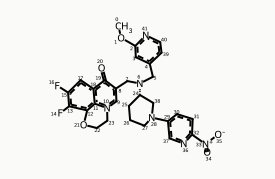 COc1cc(CN(Cc2cn3c4c(c(F)c(F)cc4c2=O)OCC3)[C@H]2CCCN(c3ccc([N+](=O)[O-])nc3)C2)ccn1